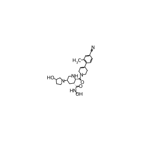 Cc1cc(C#N)ccc1C1=CCN(C(=O)[C@@H]2NC[C@H](N3CC[C@@H](O)C3)C[C@H]2C(=O)NO)CC1